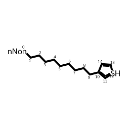 CCCCCCCCCCCCCCCCCCC1=C=[SH]C=C1